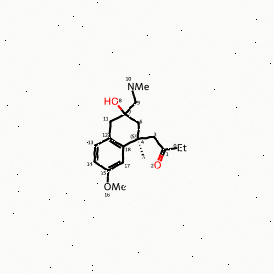 CCC(=O)C[C@]1(C)CC(O)(CNC)Cc2ccc(OC)cc21